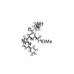 COC1CN(c2cc(C(=O)N3CC4CCC(C3)NC4)cc(-c3cnn4ccc(-c5ccccc5)nc34)n2)C1